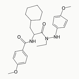 CCN(Nc1ccc(OC)cc1)C(=O)C(CC1CCCCC1)NC(=O)c1ccc(OC)cc1